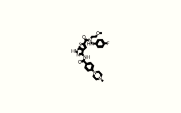 COCCN(Nc1ccc(F)cc1)C(=O)c1cc2c(NC(=O)c3ccc(N4CCN(C)CC4)cc3)n[nH]c2s1